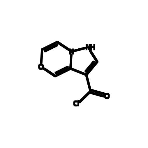 O=C(Cl)C1=CNN2C=COC=C12